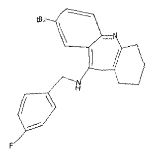 CC(C)(C)c1ccc2nc3c(c(NCc4ccc(F)cc4)c2c1)CCCC3